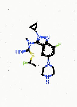 CC(F)SC(=N)N(C)c1c2cc(N3CCNCC3)cc(F)c2nn1C1CC1